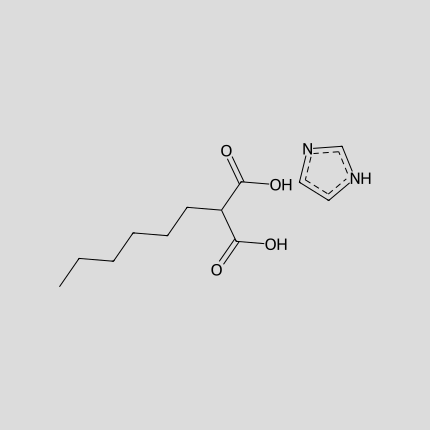 CCCCCCC(C(=O)O)C(=O)O.c1c[nH]cn1